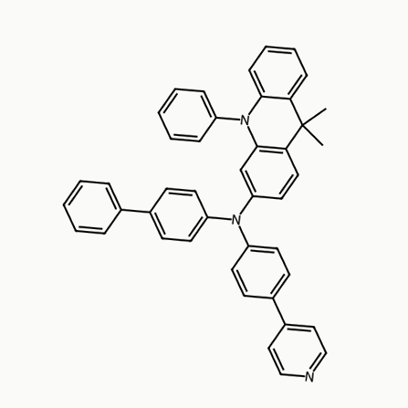 CC1(C)c2ccccc2N(c2ccccc2)c2cc(N(c3ccc(-c4ccccc4)cc3)c3ccc(-c4ccncc4)cc3)ccc21